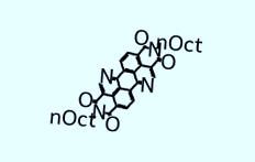 CCCCCCCCN1C(=O)c2ccc3c4ncc5c6c(ccc(c7ncc(c2c37)C1=O)c64)C(=O)N(CCCCCCCC)C5=O